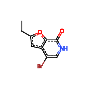 CCc1cc2c(Br)c[nH]c(=O)c2o1